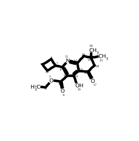 CCOC(=O)c1c(C2CCC2)nc2c(c1O)C(=O)CC(C)(C)C2